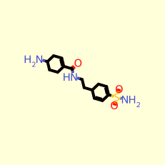 NC1CC=C(C(=O)NCCC2C=CC(S(N)(=O)=O)=CC2)CC1